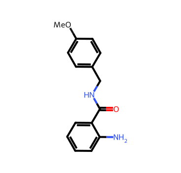 COc1ccc(CNC(=O)c2ccccc2N)cc1